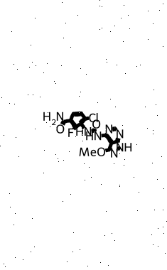 COc1n[nH]c2ncnc(NC(=O)Nc3c(Cl)ccc(C(N)=O)c3F)c12